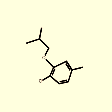 Cc1ccc(Cl)c(OCC(C)C)c1